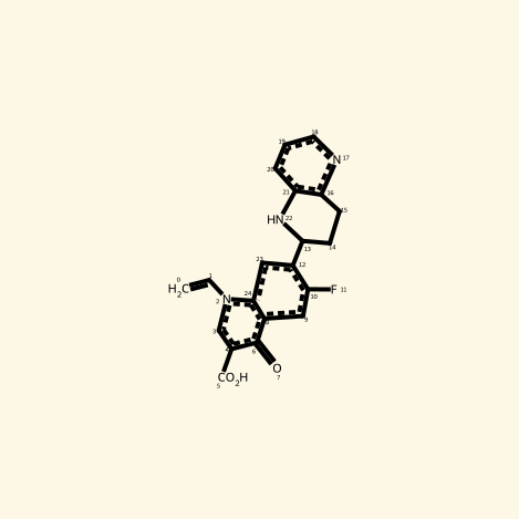 C=Cn1cc(C(=O)O)c(=O)c2cc(F)c(C3CCc4ncccc4N3)cc21